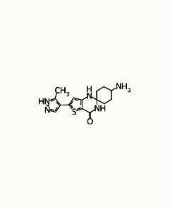 Cc1[nH]ncc1-c1cc2c(s1)C(=O)NC1(CCC(N)CC1)N2